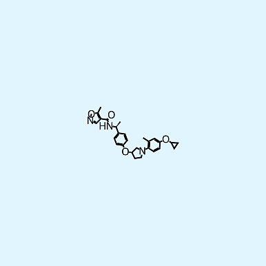 Cc1cc(OC2CC2)ccc1N1CC[C@@H](Oc2ccc([C@H](C)NC(=O)c3cnoc3C)cc2)C1